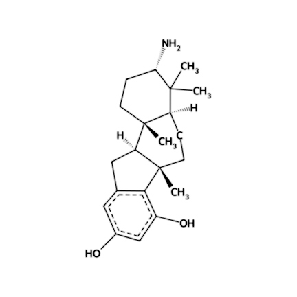 CC1(C)[C@H]2CC[C@]3(C)c4c(O)cc(O)cc4C[C@H]3[C@]2(C)CC[C@@H]1N